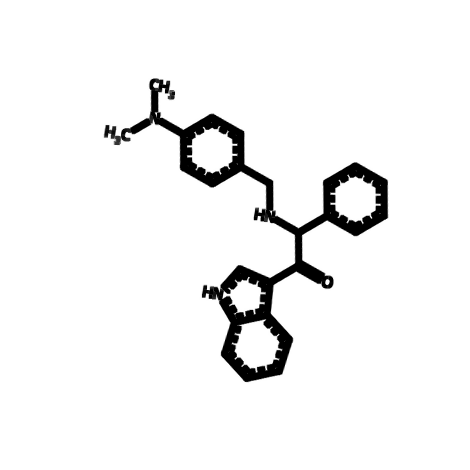 CN(C)c1ccc(CNC(C(=O)c2c[nH]c3ccccc23)c2ccccc2)cc1